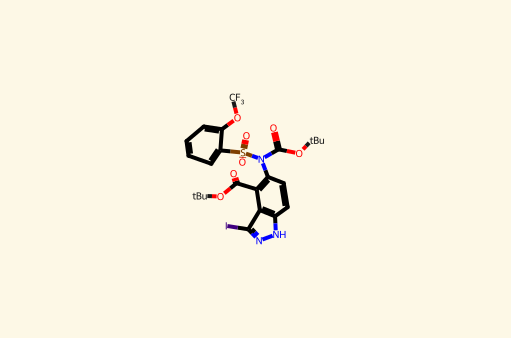 CC(C)(C)OC(=O)c1c(N(C(=O)OC(C)(C)C)S(=O)(=O)c2ccccc2OC(F)(F)F)ccc2[nH]nc(I)c12